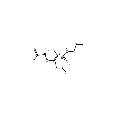 C=C(C)C(=O)OC(CCC)=C(C)C(=O)OCCC